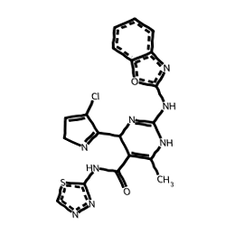 CC1=C(C(=O)Nc2nncs2)C(C2=NCC=C2Cl)N=C(Nc2nc3ccccc3o2)N1